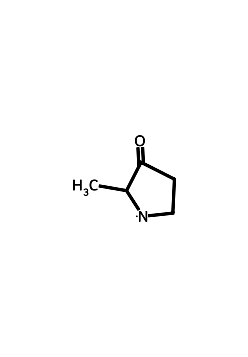 CC1[N]CCC1=O